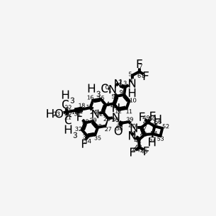 Cn1nc(NCC(F)F)c2cccc(-c3ccc(C#CC(C)(C)O)nc3[C@H](Cc3cc(F)cc(F)c3)NC(=O)Cn3nc(C(F)F)c4c3C(F)(F)[C@@H]3CC[C@H]43)c21